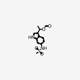 CC(OC=O)c1c[nH]c2cc(NS(C)(=O)=O)ccc12